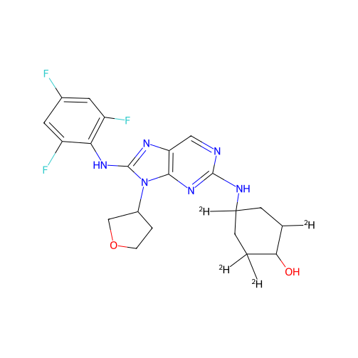 [2H]C1CC([2H])(Nc2ncc3nc(Nc4c(F)cc(F)cc4F)n(C4CCOC4)c3n2)CC([2H])([2H])C1O